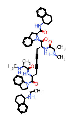 CN[C@@H](C)C(=O)N[C@@H](CC#CC#CC[C@H](NC(=O)[C@H](C)NC)C(=O)N1c2ccccc2C[C@H]1C(C)N[C@@H]1CCCc2ccccc21)C(=O)N1c2ccccc2C[C@H]1C(=O)N[C@@H]1CCCc2ccccc21